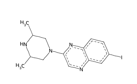 CC1CN(c2cnc3cc(I)ccc3n2)CC(C)N1